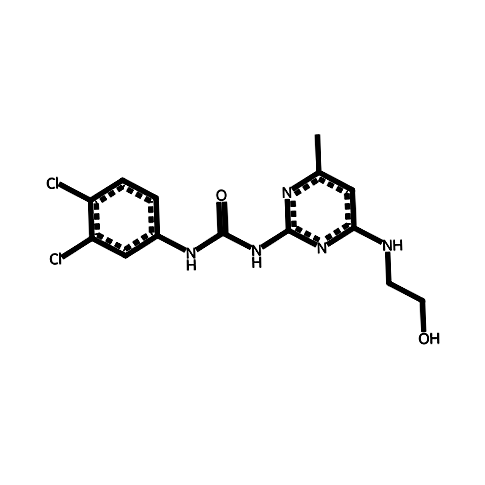 Cc1cc(NCCO)nc(NC(=O)Nc2ccc(Cl)c(Cl)c2)n1